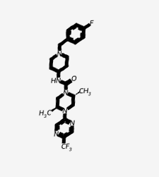 C[C@@H]1CN(c2cnc(C(F)(F)F)cn2)[C@@H](C)CN1C(=O)NC1CCN(Cc2ccc(F)cc2)CC1